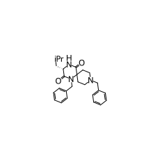 CC(C)C[C@@H]1NC(=O)C2(CCN(Cc3ccccc3)CC2)N(Cc2ccccc2)C1=O